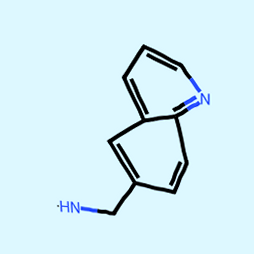 [NH]Cc1ccc2ncccc2c1